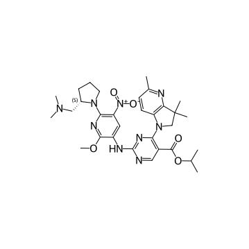 COc1nc(N2CCC[C@H]2CN(C)C)c([N+](=O)[O-])cc1Nc1ncc(C(=O)OC(C)C)c(N2CC(C)(C)c3nc(C)ccc32)n1